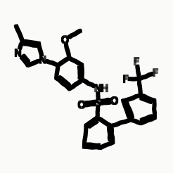 COC1C=C(NS(=O)(=O)c2ccccc2-c2cccc(C(F)(F)F)c2)C=CC1n1cnc(C)c1